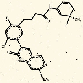 CNc1cc2[nH]c(=O)c(-c3cc(CCCC(=O)NC4=C[C@](C)(F)CC=C4)c(F)cc3Cl)cc2cn1